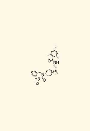 Cc1cc(F)nc(C)c1C(=O)NCC[C@@H](C)N1CCC(N(Cc2ccsc2)C(=O)NC2CC2)CC1